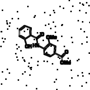 COC(=O)c1ccc(NC(=O)c2ccccc2O)c(OC)c1